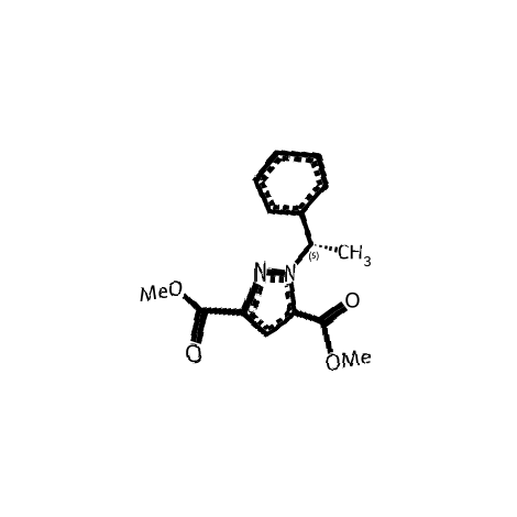 COC(=O)c1cc(C(=O)OC)n([C@@H](C)c2ccccc2)n1